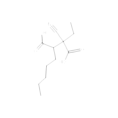 CCCCCC(C(=O)O)C(C#N)(CC)C(=O)O